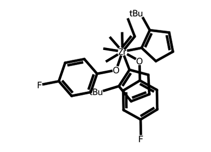 C[CH]=[Zr]([CH3])([CH3])([CH3])([CH3])([O]c1ccc(F)cc1)([O]c1ccc(F)cc1)([C]1=C(C(C)(C)C)C=CC1)[C]1=C(C(C)(C)C)C=CC1